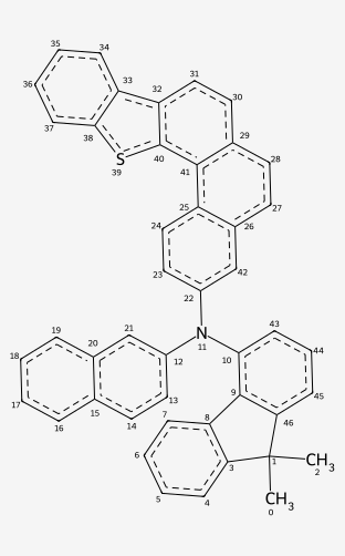 CC1(C)c2ccccc2-c2c(N(c3ccc4ccccc4c3)c3ccc4c(ccc5ccc6c7ccccc7sc6c54)c3)cccc21